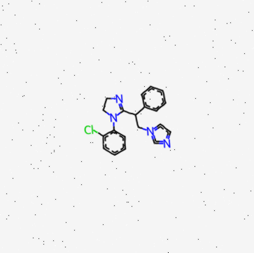 Clc1ccccc1N1CCN=C1C(Cn1ccnc1)c1ccccc1